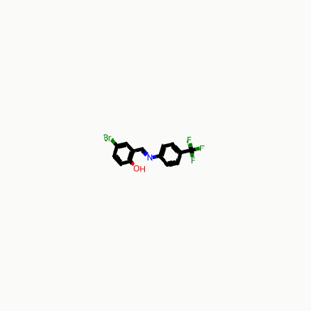 Oc1ccc(Br)cc1/C=N/c1ccc(C(F)(F)F)cc1